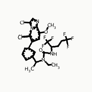 CCN(C(=O)NC(CCC(F)(F)F)C(F)(F)F)C(C)c1cccc(-c2cc(OC)c3ncc(Cl)n3c2Cl)c1